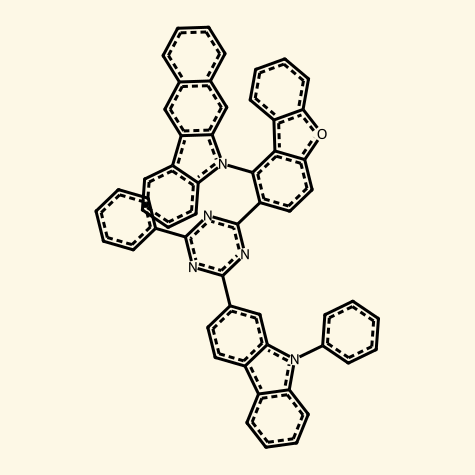 c1ccc(-c2nc(-c3ccc4c5ccccc5n(-c5ccccc5)c4c3)nc(-c3ccc4oc5ccccc5c4c3-n3c4ccccc4c4cc5ccccc5cc43)n2)cc1